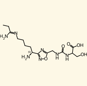 CCC(N)=NCCCC[C@H](N)c1noc(CNC(=O)NC(CO)C(=O)O)n1